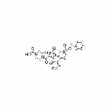 O=C(O)N1CCN(C(=O)c2[nH]c(=O)n(C3CCCN(C(=O)OCc4ccccc4)C3)c2-c2ccccc2)CC1